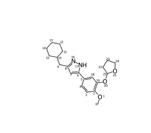 COc1ccc(-c2cc(CC3CCCCC3)n[nH]2)cc1OC1CCCO1